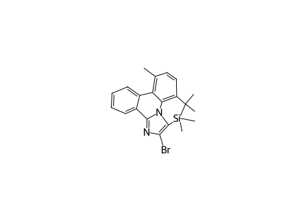 Cc1ccc2c3c1c1ccccc1c1nc(Br)c(n13)[Si](C)(C)C2(C)C